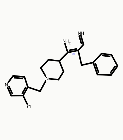 N=C/C(Cc1ccccc1)=C(\N)C1CCN(Cc2ccncc2Cl)CC1